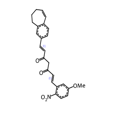 COc1ccc([N+](=O)[O-])c(/C=C/C(=O)CC(=O)/C=C/c2ccc3c(c2)CCCC=C3)c1